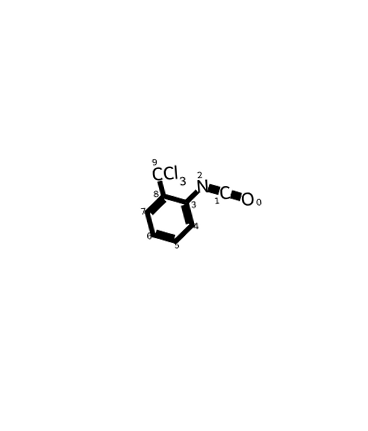 O=C=Nc1ccccc1C(Cl)(Cl)Cl